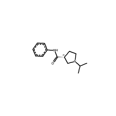 CC(C)N1CC[C@@H](C(=O)Nc2ccccc2)C1